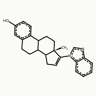 C[C@]12CCC3c4ccc(O)cc4CCC3C1CC=C2n1cnc2ccccc21